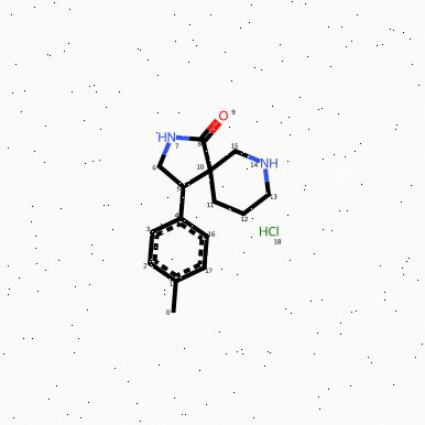 Cc1ccc(C2CNC(=O)C23CCCNC3)cc1.Cl